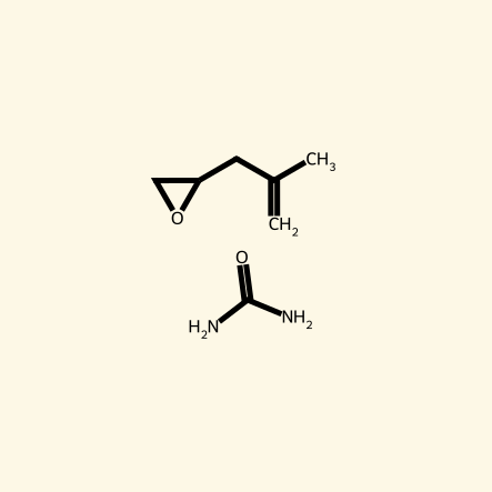 C=C(C)CC1CO1.NC(N)=O